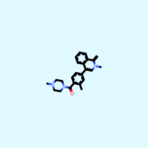 C=C1c2ccccc2C(c2ccc(C(=O)N3CCN(C)CC3)c(C)c2)=CN1C